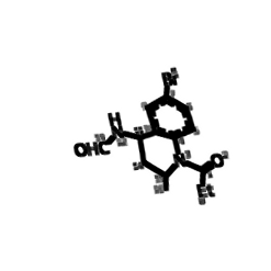 CCC(=O)N1c2ccc(Br)cc2C(NC=O)CC1C